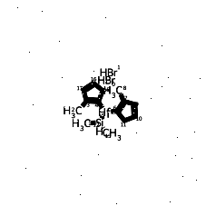 Br.Br.CC1=[C]([Hf]([C]2=C(C)C=CC2)[SiH](C)C)CC=C1